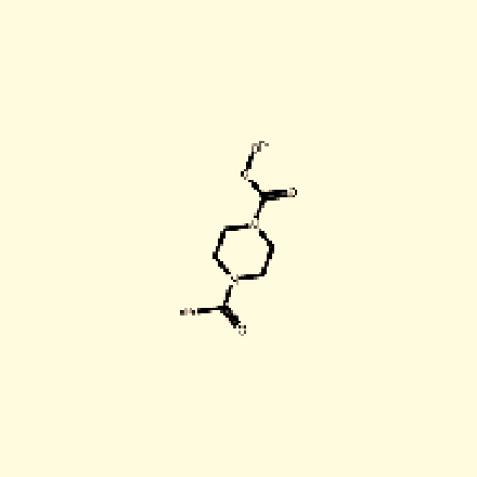 [CH2]CCC(=O)N1CCN(C(=O)OCCC)CC1